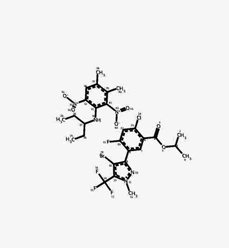 CC(C)OC(=O)c1cc(-c2nn(C)c(C(F)(F)F)c2Br)c(F)cc1Cl.CCC(CC)Nc1c([N+](=O)[O-])cc(C)c(C)c1[N+](=O)[O-]